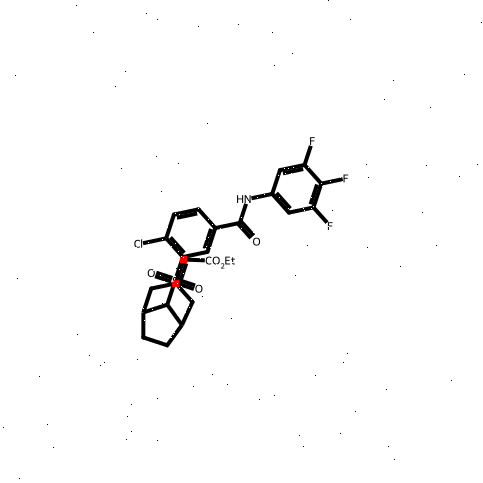 CCOC(=O)C=C1CC2CCC(C1)C2S(=O)(=O)c1cc(C(=O)Nc2cc(F)c(F)c(F)c2)ccc1Cl